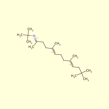 C/C(=C\CC(C)(C)C)CC/C=C(\C)CC/C(C)=N/C(C)(C)C